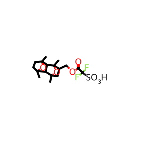 CC12CCC(C)(O1)C1C2C2(C)CC(COC(=O)C(F)(F)S(=O)(=O)O)C1(C)O2